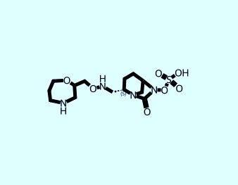 O=C1N(OS(=O)(=O)O)C2CC[C@@H](CNOCC3CNCCCO3)N1C2